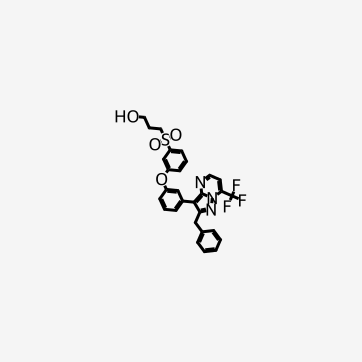 O=S(=O)(CCCO)c1cccc(Oc2cccc(-c3c(Cc4ccccc4)nn4c(C(F)(F)F)ccnc34)c2)c1